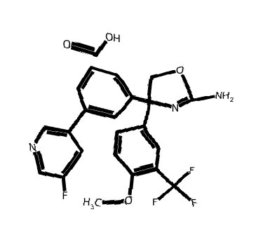 COc1ccc(C2(c3cccc(-c4cncc(F)c4)c3)COC(N)=N2)cc1C(F)(F)F.O=CO